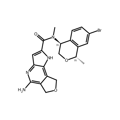 C[C@@H]1OC[C@@H](N(C)C(=O)c2cc3nc(N)c4c(c3[nH]2)COC4)c2ccc(Br)cc21